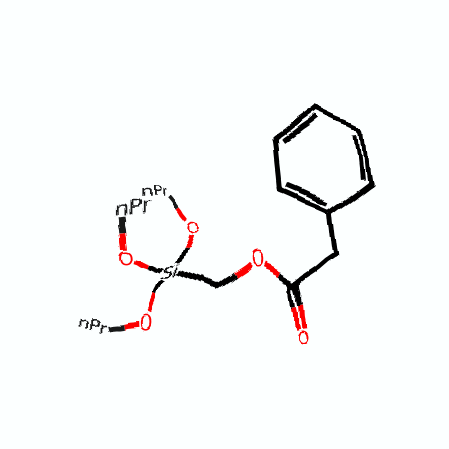 CCCO[Si](COC(=O)Cc1ccccc1)(OCCC)OCCC